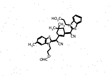 Cc1ccc2c(c1)N(CCOC=O)/C(=C(\C#N)C1=C/C(=C(\C#N)c3sc4ccccc4[n+]3CCC(=O)O)CC(C)(C)C1)S2